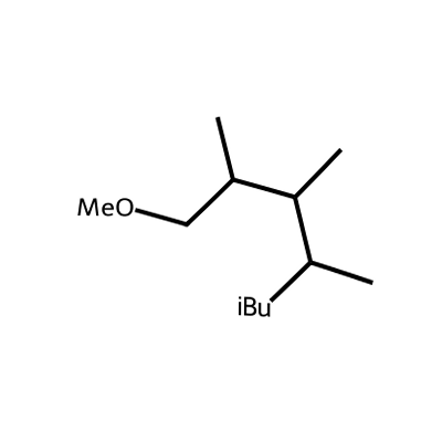 CCC(C)C(C)C(C)C(C)COC